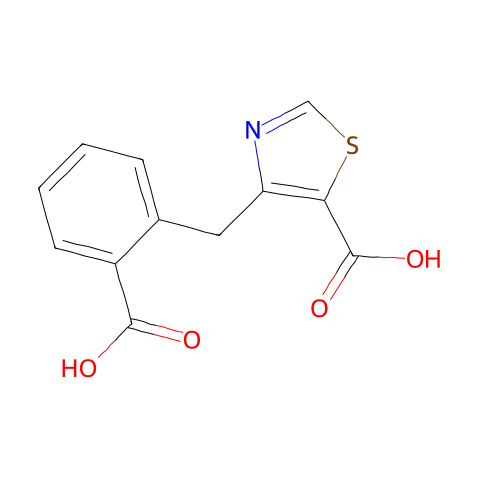 O=C(O)c1ccccc1Cc1ncsc1C(=O)O